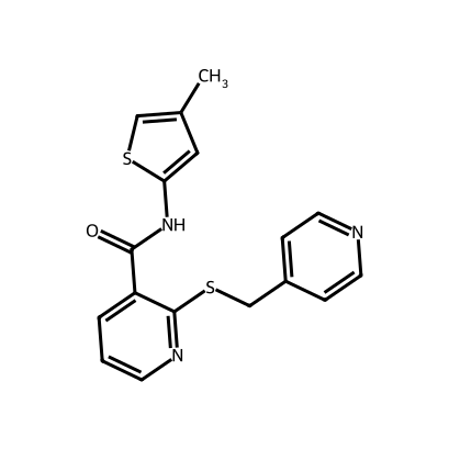 Cc1csc(NC(=O)c2cccnc2SCc2ccncc2)c1